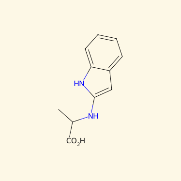 CC(Nc1cc2ccccc2[nH]1)C(=O)O